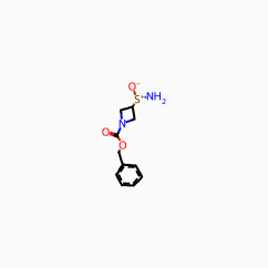 N[S+]([O-])C1CN(C(=O)OCc2ccccc2)C1